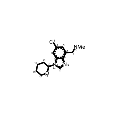 CNCc1cc(Cl)cc2c1ncn2C1CCCCO1